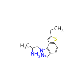 CCc1cc2c(ccc3cnn(C[C@H](C)N)c32)s1